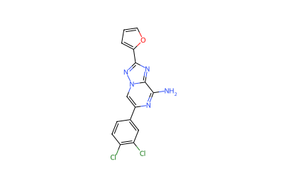 Nc1nc(-c2ccc(Cl)c(Cl)c2)cn2nc(-c3ccco3)nc12